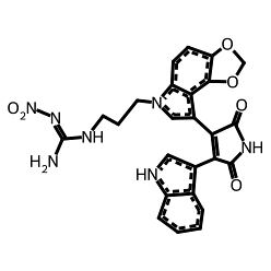 NC(=N[N+](=O)[O-])NCCCn1cc(C2=C(c3c[nH]c4ccccc34)C(=O)NC2=O)c2c3c(ccc21)OCO3